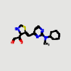 CN(c1nccc(/C=C2\SCNC2C(=O)C=O)n1)C1CCCCC1